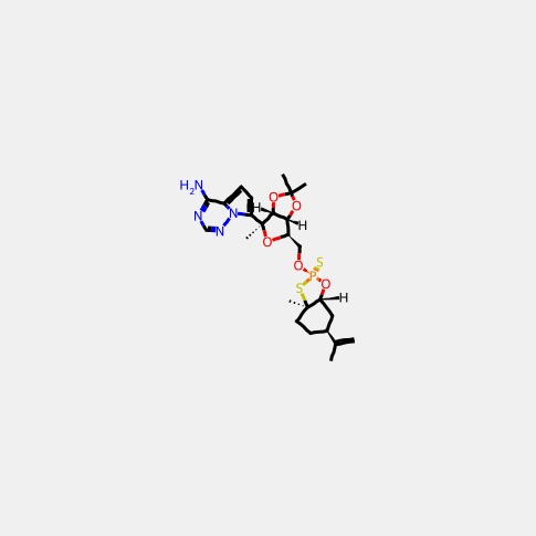 C=C(C)[C@H]1CC[C@@]2(C)S[P@@](=S)(OC[C@H]3O[C@@](C)(c4ccc5c(N)ncnn45)[C@@H]4OC(C)(C)O[C@@H]43)O[C@@H]2C1